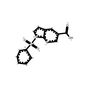 O=C(O)c1cnc2c(ccn2S(=O)(=O)c2ccccc2)c1